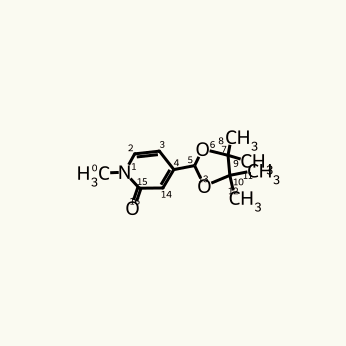 Cn1ccc(C2OC(C)(C)C(C)(C)O2)cc1=O